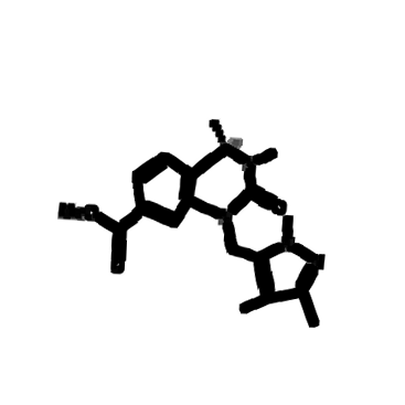 COC(=O)c1ccc2c(c1)N(Cc1c(C)c(C)nn1C)C(=O)N(C)[C@H]2C